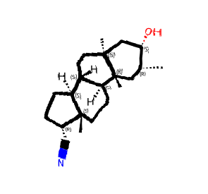 C[C@@H]1C[C@]2(C)[C@H]3CC[C@]4(C)[C@H](C#N)CC[C@H]4[C@@H]3CC[C@@]2(C)C[C@@H]1O